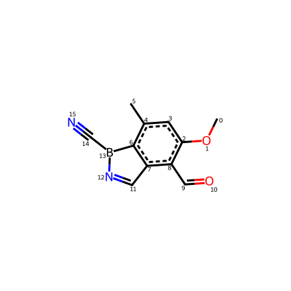 COc1cc(C)c2c(c1C=O)C=NB2C#N